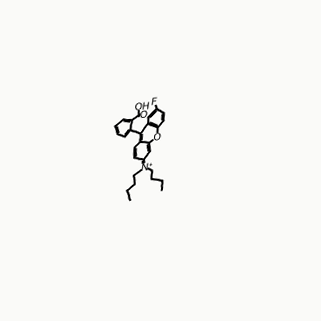 CCCC[N+](CCCC)=c1ccc2c(-c3ccccc3C(=O)O)c3cc(F)ccc3oc-2c1